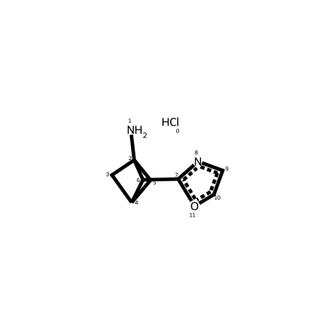 Cl.NC12CC(C1)C2c1ncco1